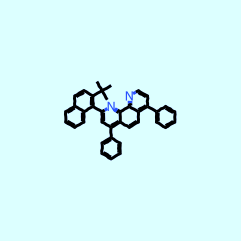 CC(C)(C)c1ccc2ccccc2c1-c1cc(-c2ccccc2)c2ccc3c(-c4ccccc4)ccnc3c2n1